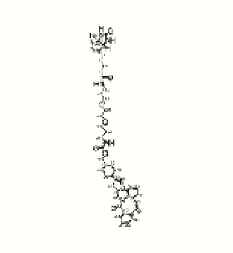 O=C(CCCC[C@@H]1SC[C@@H]2NC(=O)N[C@@H]21)NCCCOCCOCCCNC(=O)OCc1ccc(C2=NOC(CN3C(=O)c4ccccc4C#Cc4ccccc43)C2)cc1